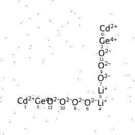 [Cd+2].[Cd+2].[Ge+4].[Ge+4].[Li+].[Li+].[O-2].[O-2].[O-2].[O-2].[O-2].[O-2].[O-2]